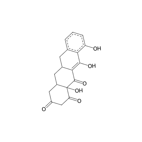 O=C1CC(=O)C2(O)C(=O)C3=C(O)c4c(O)cccc4CC3CC2C1